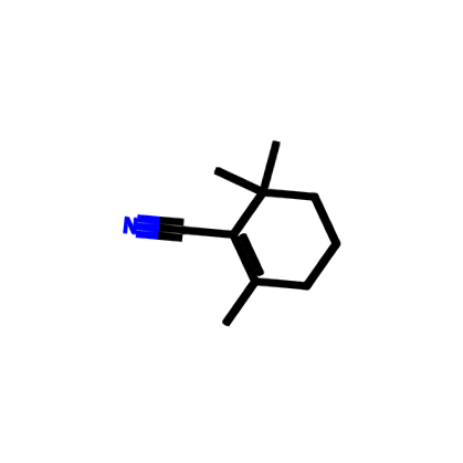 CC1=C(C#N)C(C)(C)CCC1